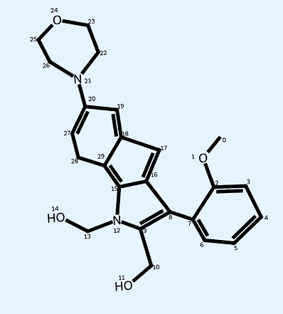 COc1ccccc1-c1c(CO)n(CO)c2c1=CC1=CC(N3CCOCC3)=CCC=21